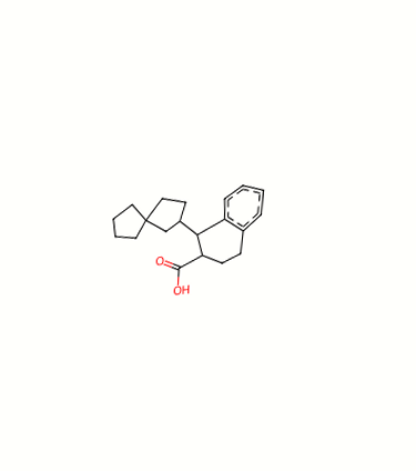 O=C(O)C1CCc2ccccc2C1C1CCC2(CCCC2)C1